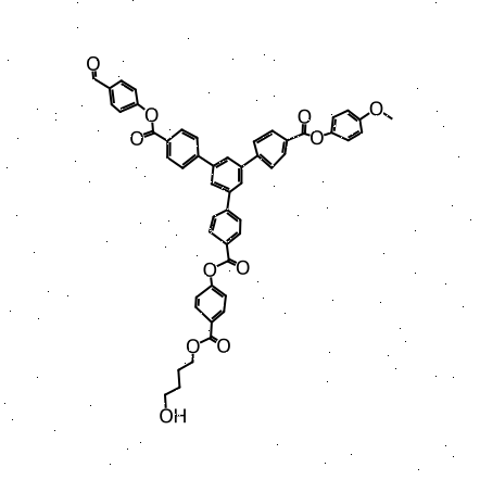 COc1ccc(OC(=O)c2ccc(-c3cc(-c4ccc(C(=O)Oc5ccc(C=O)cc5)cc4)cc(-c4ccc(C(=O)Oc5ccc(C(=O)OCCCCO)cc5)cc4)c3)cc2)cc1